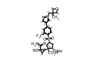 CO[C@@H]1C[C@H](S(=O)(=O)c2ccc(-c3cnn(CC4(C)COC4)c3)cc2C(F)(F)F)C[C@@]1(C(=O)O)C1CC1(C#N)C(N)=O